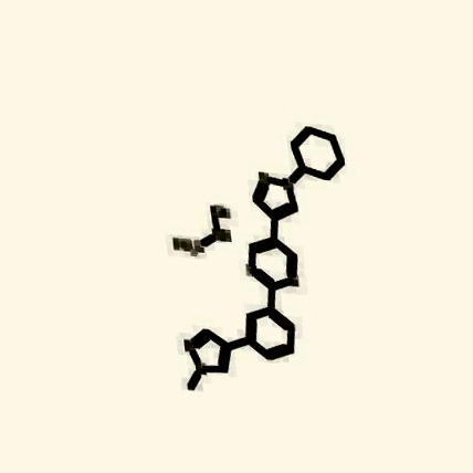 CC(C)(C)NC(=O)O.Cn1cc(-c2cccc(-c3ncc(-c4cnn(C5CCCCC5)c4)cn3)c2)cn1